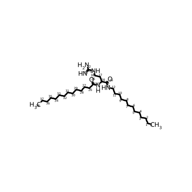 CCCCCCCCCCCCCNC(=O)C(CCNC(=N)N)NC(=O)CCCCCCCCCCCCC